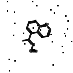 CON=C(C)c1cccc2c1=CC=C[N+]=2